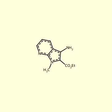 CCOC(=O)c1c(N)c2cccnc2n1C